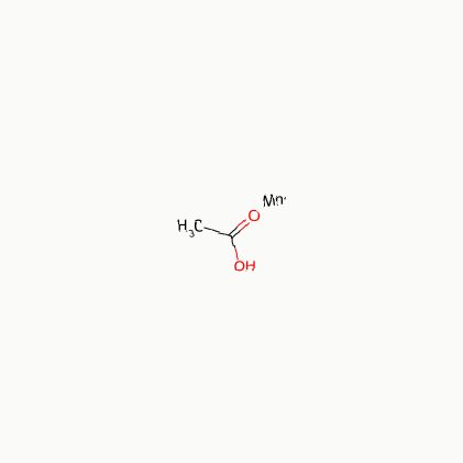 CC(=O)O.[Mn]